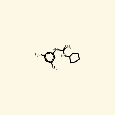 C=C(Nc1cc(C(F)(F)F)cc(C(F)(F)F)c1)NC1CCCCC1